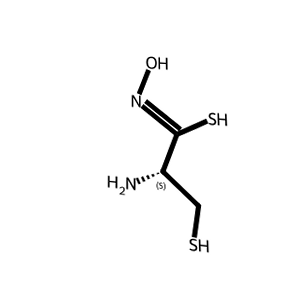 N[C@@H](CS)C(S)=NO